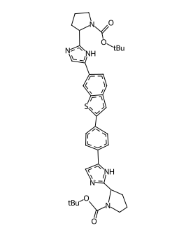 CC(C)(C)OC(=O)N1CCCC1c1ncc(-c2ccc(-c3cc4ccc(-c5cnc(C6CCCN6C(=O)OC(C)(C)C)[nH]5)cc4s3)cc2)[nH]1